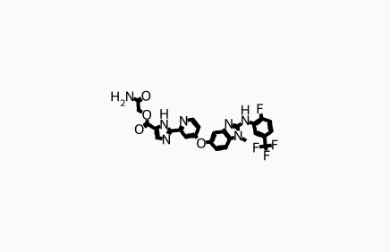 Cn1c(Nc2cc(C(F)(F)F)ccc2F)nc2cc(Oc3ccnc(-c4ncc(C(=O)OCC(N)=O)[nH]4)c3)ccc21